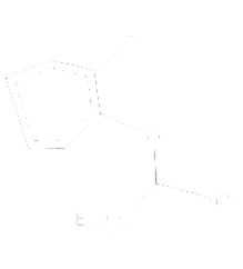 CCCC(Oc1ccccc1F)C(=O)OCC